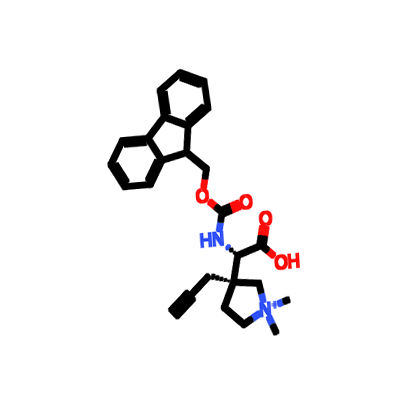 C#CC[C@@]1([C@H](NC(=O)OCC2c3ccccc3-c3ccccc32)C(=O)O)CC[N+](C)(C)C1